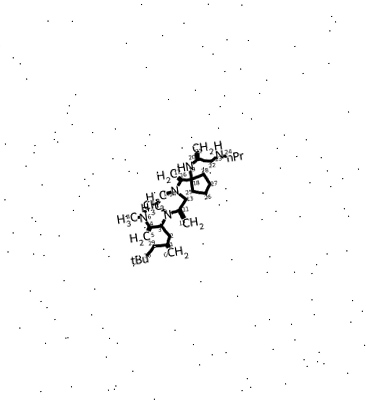 C=C(CC(C(=C)N(C)C)N(C)C(=C)CN(C)C(=C)C1(NC(=C)CNCCC)CCCC1)CC(C)(C)C